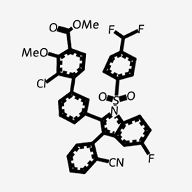 COC(=O)c1ccc(-c2cccc(-c3c(-c4ccccc4C#N)c4cc(F)ccc4n3S(=O)(=O)c3ccc(C(F)F)cc3)c2)c(Cl)c1OC